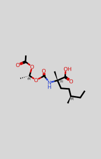 CC[C@@H](C)CC[C@](C)(NC(=O)O[C@H](C)OC(C)=O)C(=O)O